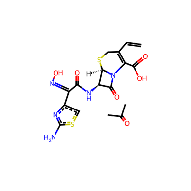 C=CC1=C(C(=O)O)N2C(=O)[C@@H](NC(=O)/C(=N\O)c3csc(N)n3)[C@H]2SC1.CC(C)=O